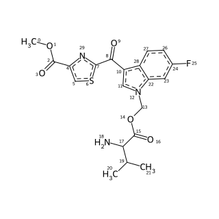 COC(=O)c1csc(C(=O)c2cn(COC(=O)C(N)C(C)C)c3cc(F)ccc23)n1